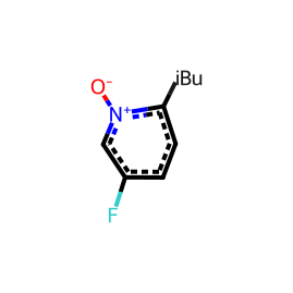 CCC(C)c1ccc(F)c[n+]1[O-]